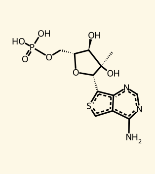 C[C@@]1(O)[C@H](O)[C@@H](COP(=O)(O)O)O[C@H]1c1scc2c(N)ncnc12